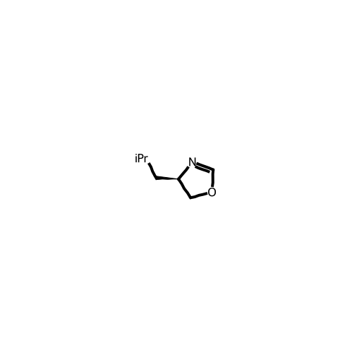 CC(C)C[C@@H]1COC=N1